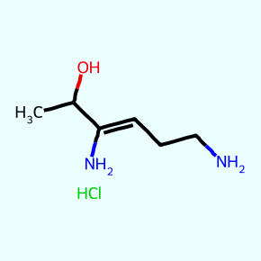 CC(O)C(N)=CCCN.Cl